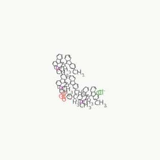 Cc1ccc(S(=O)(=O)[O-])cc1.Cc1ccc2c(c1)[C]([Zr][C]1=C3C=CC=CC3c3ccc4c(c31)[P+](C)(C)C4)=C1C=CC=CC12.Cc1ccc2c(c1)[C]([Zr][C]1=C3C=CC=CC3c3ccc4c(c31)[P+](C)(C)C4)=C1C=CC=CC12.Cc1ccc2c(c1)[C]([Zr][C]1=C3C=CC=CC3c3ccc4c(c31)[P+](C)(C)C4)=C1C=CC=CC12.[Cl-].[Cl-]